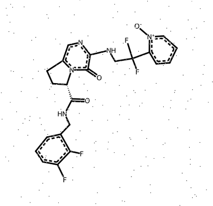 O=C(NCc1cccc(F)c1F)[C@@H]1CCc2cnc(NCC(F)(F)c3cccc[n+]3[O-])c(=O)n21